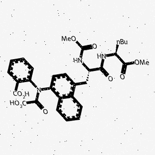 CCCC[C@H](NC(=O)[C@H](Cc1ccc(N(C(=O)C(=O)O)c2ccccc2C(=O)O)c2ccccc12)NC(=O)OC)C(=O)OC